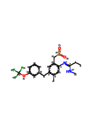 CCC(=Nc1cc(C)c(Cc2cccc(OC(F)(F)F)c2)cc1C[SH](=O)=O)NC